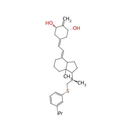 C=C1[C@H](O)CC(=C/C=C2\CCCC3(C)C2CCC3[C@@H](C)CSc2cccc(C(C)C)c2)C[C@H]1O